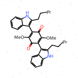 COC1=C(c2c(CCC(C)C)[nH]c3ccccc23)C(=O)C(OC)=C(c2c(CCC(C)C)[nH]c3ccccc23)C1=O